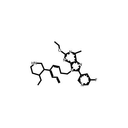 C=C/C=C(\C=C/CCn1c(-c2cncc(F)c2)nc2c(C)nc(OCC)nc21)C1CNCCC1CC